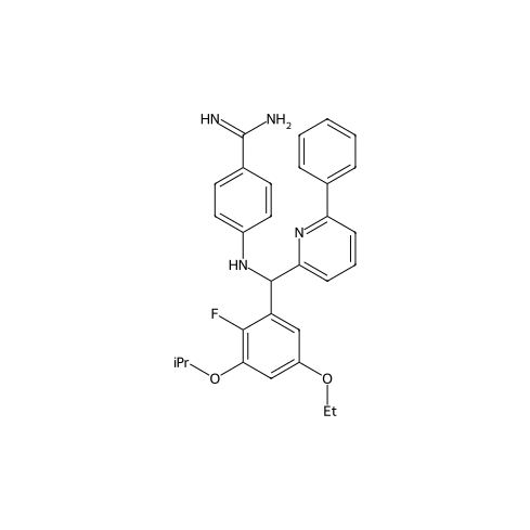 CCOc1cc(OC(C)C)c(F)c(C(Nc2ccc(C(=N)N)cc2)c2cccc(-c3ccccc3)n2)c1